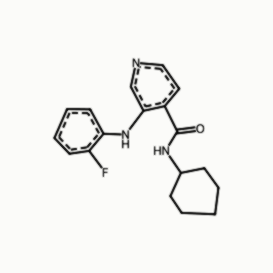 O=C(NC1CCCCC1)c1ccncc1Nc1ccccc1F